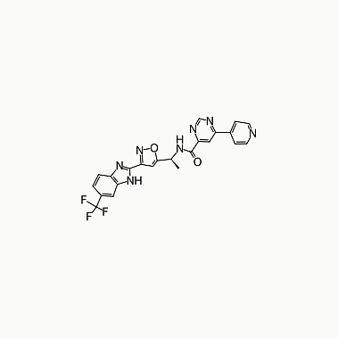 C[C@H](NC(=O)c1cc(-c2ccncc2)ncn1)c1cc(-c2nc3ccc(C(F)(F)F)cc3[nH]2)no1